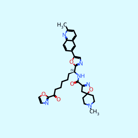 Cc1ccc2cc(-c3cnc([C@H](CCCCCC(=O)c4ncco4)NC(=O)C4=NOC5(CCN(C)CC5)C4)o3)ccc2n1